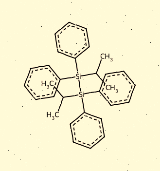 CC(C)[Si](c1ccccc1)(c1ccccc1)[Si](c1ccccc1)(c1ccccc1)C(C)C